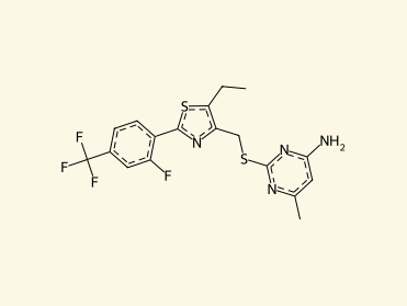 CCc1sc(-c2ccc(C(F)(F)F)cc2F)nc1CSc1nc(C)cc(N)n1